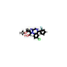 C[SiH](C)OC(c1nc2n(c1CO)-c1ccc(Cl)cc1C(c1ccccc1F)=NC2)C(C)(C)C